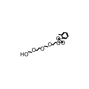 Cc1ccccc1S(=O)(=O)OCCOCCOCCOCCO